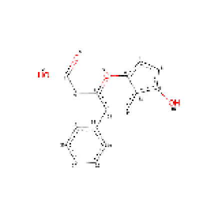 O=C(O)Cc1oc2ccc(O)c-2cc1-c1ccccc1